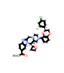 COC(=O)c1ccc2nc3n(c2c1)C([C@@H]1CCO1)[C@H]1CN(c2cccc4c2O[C@@H](c2ccc(Cl)cc2F)CO4)CCN1C3